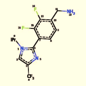 CC(C)n1cc(C(F)(F)F)nc1-c1ccc(CN)c(F)c1F